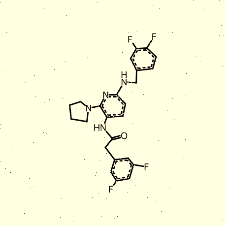 O=C(Cc1cc(F)cc(F)c1)Nc1ccc(NCc2ccc(F)c(F)c2)nc1N1CCCC1